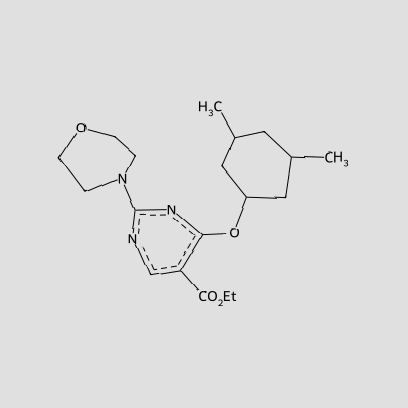 CCOC(=O)c1cnc(N2CCOCC2)nc1OC1CC(C)CC(C)C1